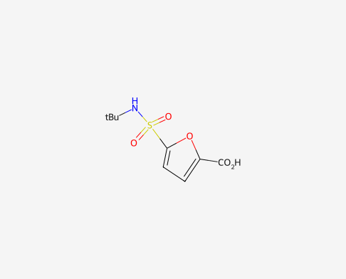 CC(C)(C)NS(=O)(=O)c1ccc(C(=O)O)o1